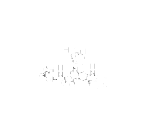 CC1(C)OCC(n2cc(C(=O)NCCP(=O)(O)O)c(=O)c3cc(F)c(NC4CCCCC4)cc32)CO1